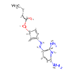 CCCC(=O)Oc1ccc(/N=N/c2ccc(N)nc2N)cc1